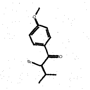 COc1ccc(C(=O)C(Br)C(C)C)cc1